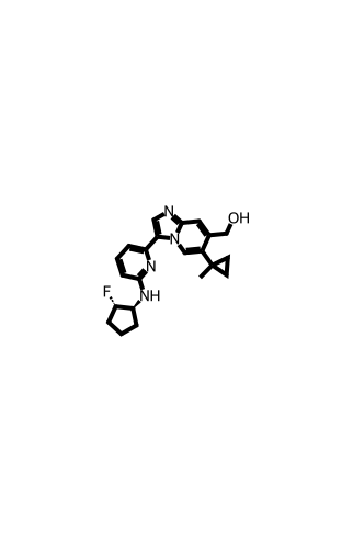 CC1(c2cn3c(-c4cccc(N[C@H]5CCC[C@@H]5F)n4)cnc3cc2CO)CC1